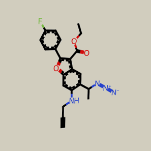 C#CCNc1cc2oc(-c3ccc(F)cc3)c(C(=O)OCC)c2cc1C(C)N=[N+]=[N-]